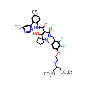 CCOC(=O)CC(CC(=O)OCC)NCCOc1ccc(CN2C(=O)C(C(=O)Nc3ccc(C(F)(F)F)cc3-c3cc(C(F)(F)F)ncn3)=C(O)C3(CCCC3)N2C)c(F)c1F